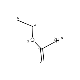 [2H]C(=C)OCC